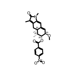 CO[C@@H]1C=C2C=C3C(=C(C)C(=O)N3C)C[C@]2(C)[C@@H](C)[C@H]1OC(=O)c1ccc([N+](=O)[O-])cc1